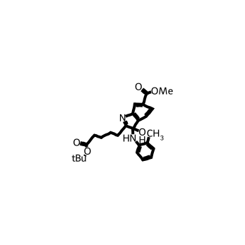 COC(=O)c1ccc2c(c1)N=C(CCCCC(=O)OC(C)(C)C)C2(O)Nc1ccccc1C